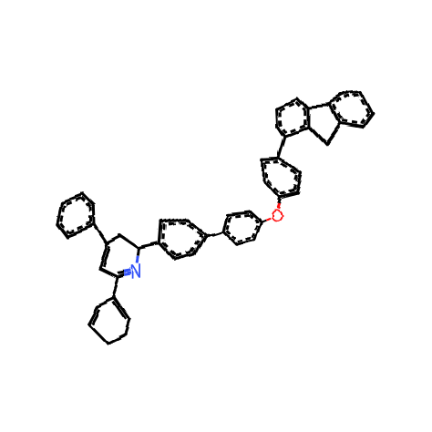 C1=CC(C2=NC(c3ccc(-c4ccc(Oc5ccc(-c6cccc7c6Cc6ccccc6-7)cc5)cc4)cc3)CC(c3ccccc3)=C2)=CCC1